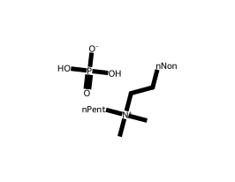 CCCCCCCCCCC[N+](C)(C)CCCCC.O=P([O-])(O)O